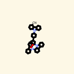 N#Cc1ccc(-c2ccc(-n3c4ccccc4c4c(C#N)cccc43)cc2)cc1-n1c2ccccc2c2cccc(-n3c4ccccc4c4ccccc43)c21